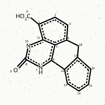 O=C(O)c1ccc2c3c([nH]c(=O)nc13)-c1ccccc1C2